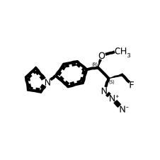 CO[C@H](c1ccc(-n2cccc2)cc1)[C@@H](CF)N=[N+]=[N-]